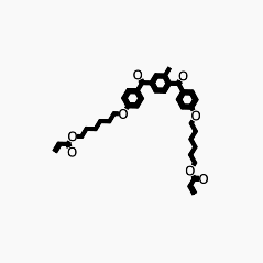 C=CC(=O)OCCCCCCOc1ccc(C(=O)c2ccc(C(=O)c3ccc(OCCCCCCOC(=O)C=C)cc3)c(C)c2)cc1